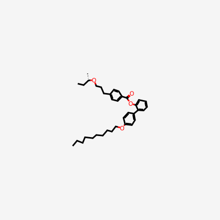 CCCCCCCCCCOc1ccc(-c2ccccc2OC(=O)c2ccc(CCCO[C@@H](C)CC)cc2)cc1